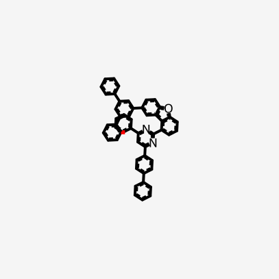 c1ccc(-c2ccc(-c3cc(-c4ccccc4)nc(-c4cccc5oc6ccc(-c7cc(-c8ccccc8)cc(-c8ccccc8)c7)cc6c45)n3)cc2)cc1